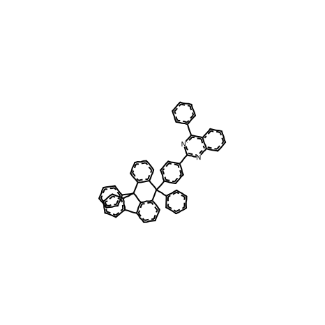 c1ccc(-c2nc(-c3ccc(C4(c5ccccc5)c5ccccc5C5(c6ccccc6)c6ccccc6-c6cccc4c65)cc3)nc3ccccc23)cc1